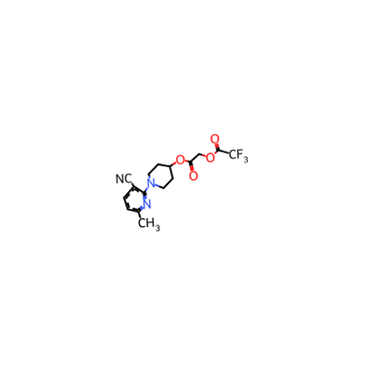 Cc1ccc(C#N)c(N2CCC(OC(=O)COC(=O)C(F)(F)F)CC2)n1